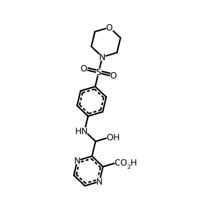 O=C(O)c1nccnc1C(O)Nc1ccc(S(=O)(=O)N2CCOCC2)cc1